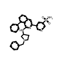 NS(=O)(=O)c1cncc(-c2cc3cccc(-c4ccccc4)c3c(NC3CCN(Cc4ccccc4)C3)n2)c1